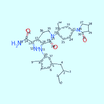 CCC(C)Cc1ccc(C)c(-n2nc(C(N)=O)c3c2C(=O)N(c2ccc(N4CCCC4=O)cc2C)CC3)c1